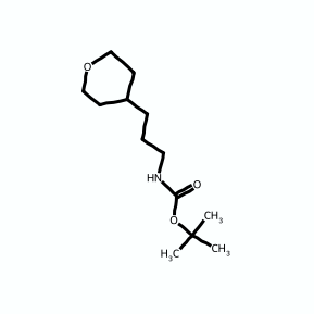 CC(C)(C)OC(=O)NCCCC1CCOCC1